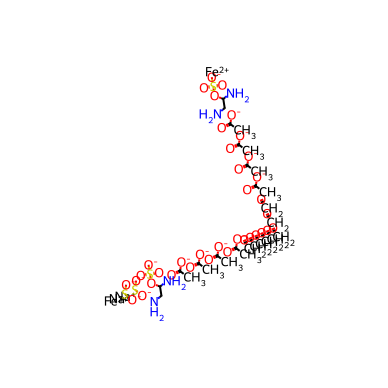 C=O.C=O.C=O.C=O.C=O.C=O.C=O.C=O.CC(=O)[O-].CC(=O)[O-].CC(=O)[O-].CC(=O)[O-].CC(=O)[O-].CC(=O)[O-].CC(=O)[O-].CC(=O)[O-].NCC(N)OS(=O)(=O)[O-].NCC(N)OS(=O)(=O)[O-].[Fe+2].[Fe+2].[Na+].[Na+].[O-]S[O-].[O-]S[O-]